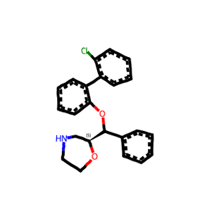 Clc1ccccc1-c1ccccc1OC(c1ccccc1)[C@@H]1CNCCO1